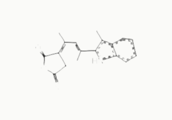 CC(=CC(C)=C1CC(=O)OC1=O)c1[nH]c2ccccc2c1C